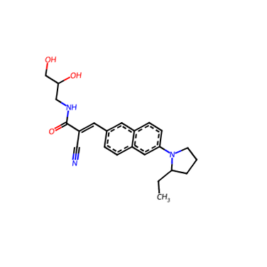 CCC1CCCN1c1ccc2cc(/C=C(\C#N)C(=O)NCC(O)CO)ccc2c1